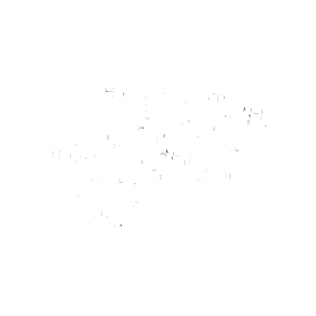 Cc1c[c]c2c3c(C(N)=O)cccc3n(Cc3ccc(C)c4ccccc34)c2c1